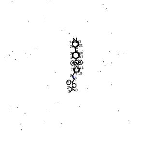 CC(C)(C)OC(=O)/C=C/c1ccn(S(=O)(=O)c2ccc(-c3ccncc3)cc2)c1